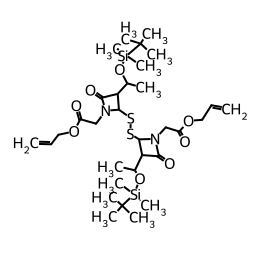 C=CCOC(=O)CN1C(=O)C(C(C)O[Si](C)(C)C(C)(C)C)C1SSC1C(C(C)O[Si](C)(C)C(C)(C)C)C(=O)N1CC(=O)OCC=C